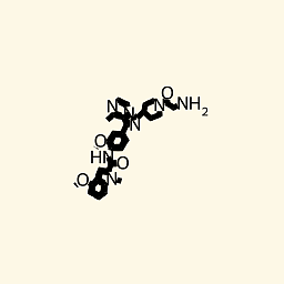 COc1cc(-c2nc(C3CCN(C(=O)CN)CC3)n3ccnc(C)c23)ccc1NC(=O)c1cc2c(OC)cccc2n1C